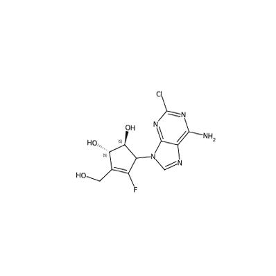 Nc1nc(Cl)nc2c1ncn2C1C(F)=C(CO)[C@H](O)[C@H]1O